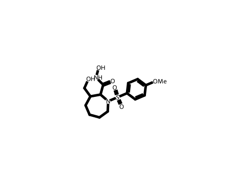 COc1ccc(S(=O)(=O)N2CCCCC(CO)C2C(=O)NO)cc1